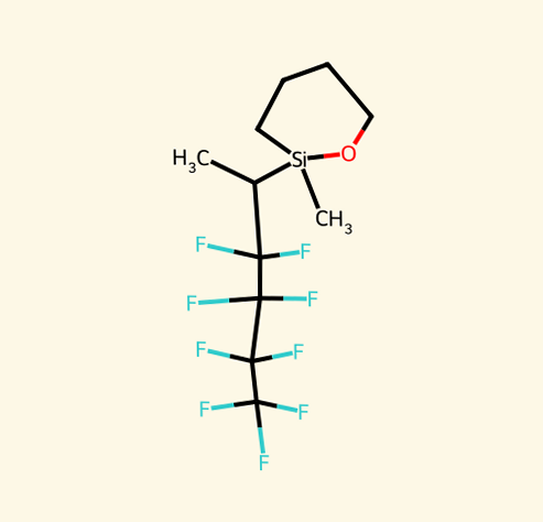 CC(C(F)(F)C(F)(F)C(F)(F)C(F)(F)F)[Si]1(C)CCCCO1